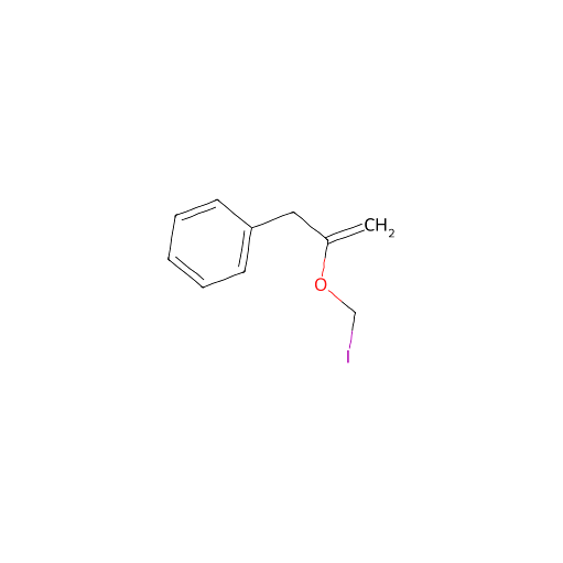 C=C(Cc1ccccc1)OCI